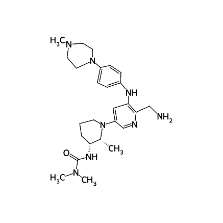 C[C@@H]1[C@H](NC(=O)N(C)C)CCCN1c1cnc(CN)c(Nc2ccc(N3CCN(C)CC3)cc2)c1